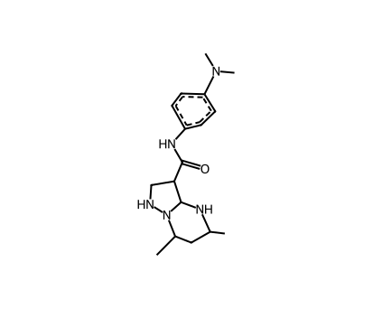 CC1CC(C)N2NCC(C(=O)Nc3ccc(N(C)C)cc3)C2N1